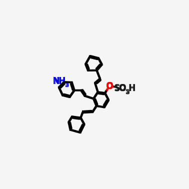 N.O=S(=O)(O)Oc1ccc(C=Cc2ccccc2)c(C=Cc2ccccc2)c1C=Cc1ccccc1